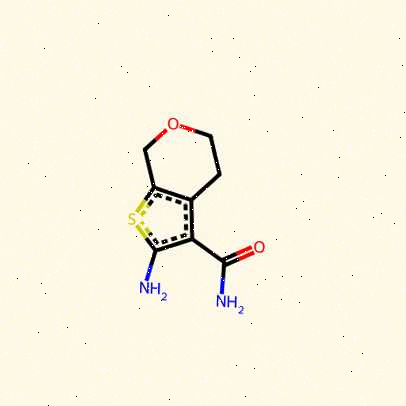 NC(=O)c1c(N)sc2c1CCOC2